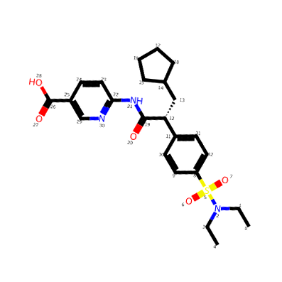 CCN(CC)S(=O)(=O)c1ccc([C@@H](CC2CCCC2)C(=O)Nc2ccc(C(=O)O)cn2)cc1